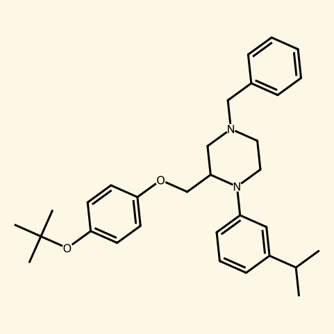 CC(C)c1cccc(N2CCN(Cc3ccccc3)CC2COc2ccc(OC(C)(C)C)cc2)c1